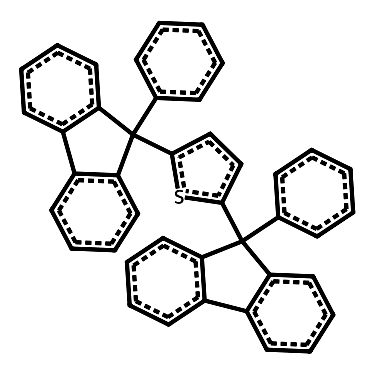 c1ccc(C2(c3ccc(C4(c5ccccc5)c5ccccc5-c5ccccc54)s3)c3ccccc3-c3ccccc32)cc1